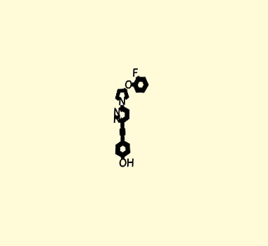 Oc1ccc(C#Cc2ccc(N3CCC(Oc4ccccc4F)C3)nn2)cc1